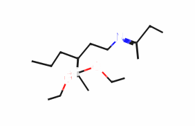 CCCC(CC/N=C(\C)CC)[Si](C)(OCC)OCC